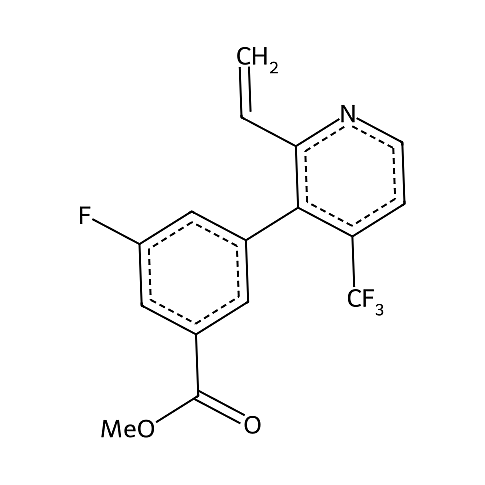 C=Cc1nccc(C(F)(F)F)c1-c1cc(F)cc(C(=O)OC)c1